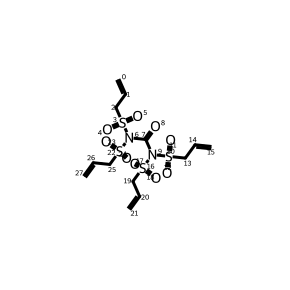 C=CCS(=O)(=O)N(C(=O)N(S(=O)(=O)CC=C)S(=O)(=O)CC=C)S(=O)(=O)CC=C